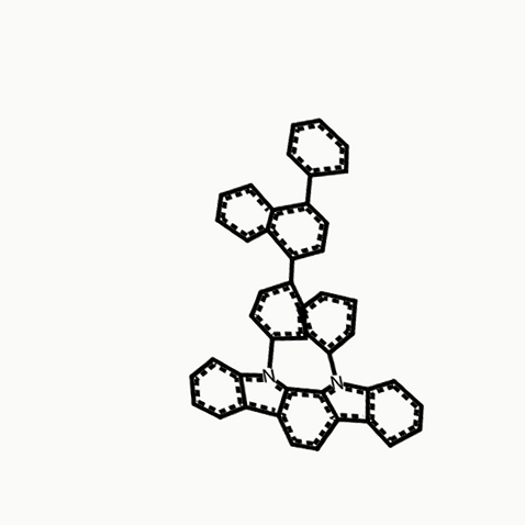 c1ccc(-c2ccc(-c3ccc(-n4c5ccccc5c5ccc6c7ccccc7n(-c7ccccc7)c6c54)cc3)c3ccccc23)cc1